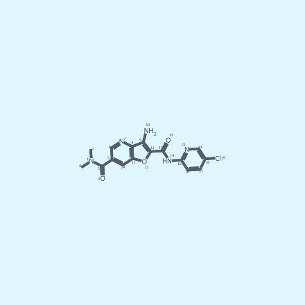 CN(C)C(=O)c1cnc2c(N)c(C(=O)Nc3ccc(Cl)cn3)oc2c1